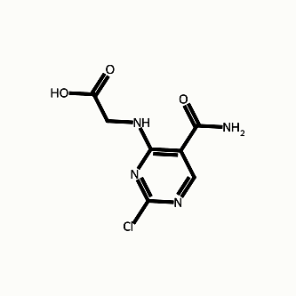 NC(=O)c1cnc(Cl)nc1NCC(=O)O